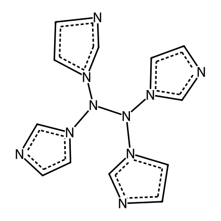 c1cn(N(N(n2ccnc2)n2ccnc2)n2ccnc2)cn1